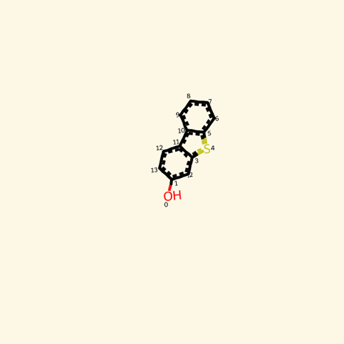 Oc1[c]c2sc3ccccc3c2cc1